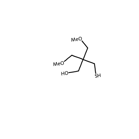 COCC(CO)(CS)COC